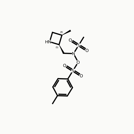 Cc1ccc(S(=O)(=O)ON(C[C@H]2NC[C@H]2C)S(C)(=O)=O)cc1